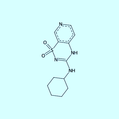 O=S1(=O)N=C(NC2CCCCC2)Nc2ccncc21